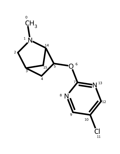 CN1CC2CC(Oc3ncc(Cl)cn3)C1C2